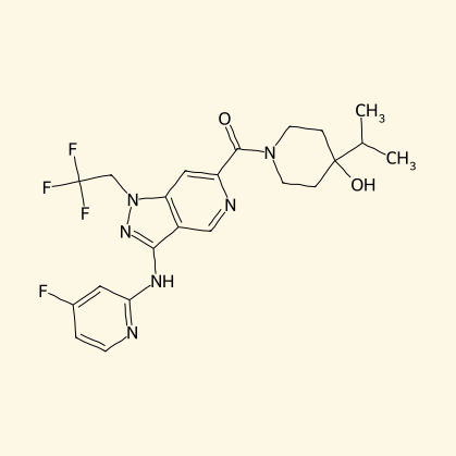 CC(C)C1(O)CCN(C(=O)c2cc3c(cn2)c(Nc2cc(F)ccn2)nn3CC(F)(F)F)CC1